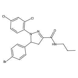 CCCNC(=O)C1=NN(c2ccc(Cl)cc2Cl)C(c2ccc(Br)cc2)C1